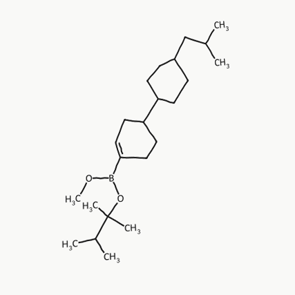 COB(OC(C)(C)C(C)C)C1=CCC(C2CCC(CC(C)C)CC2)CC1